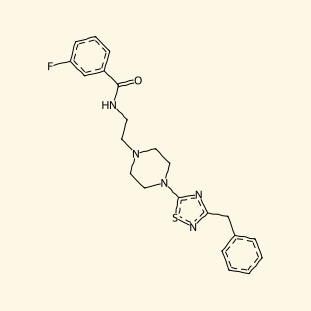 O=C(NCCN1CCN(c2nc(Cc3ccccc3)ns2)CC1)c1cccc(F)c1